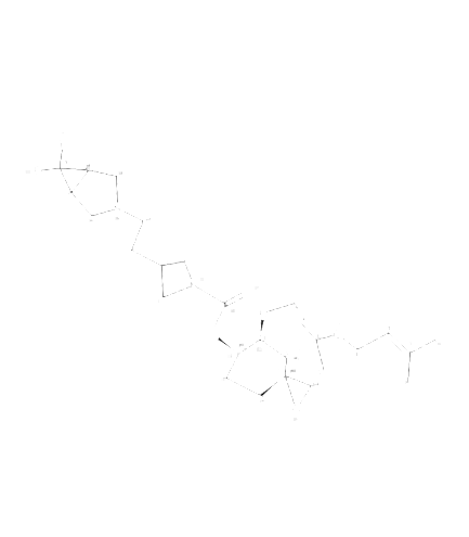 CO[C@H]1[C@H](C(C)(C)OCC=C(C)C)[C@]2(CC[C@H]1OC(=O)N1CC(CCN3CC4C(C3)C4(F)F)C1)CO2